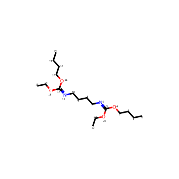 CCCCOC(=NCCCCN=C(OCC)OCCCC)OCC